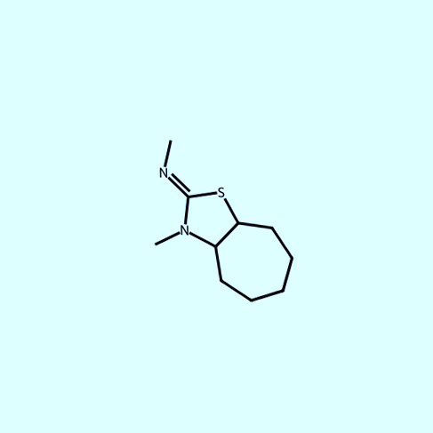 C/N=C1\SC2CCCCCC2N1C